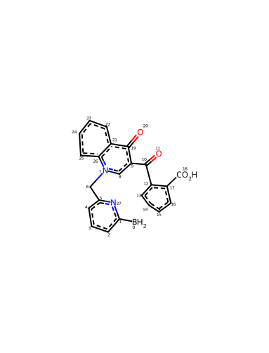 Bc1cccc(Cn2cc(C(=O)c3ccccc3C(=O)O)c(=O)c3ccccc32)n1